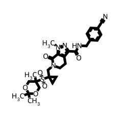 Cn1nc(C(=O)NCc2ccc(C#N)cc2)c2c1C(=O)N(CC1(S(=O)(=O)C3(C)COC(C)(C)OC3)CC1)CC2